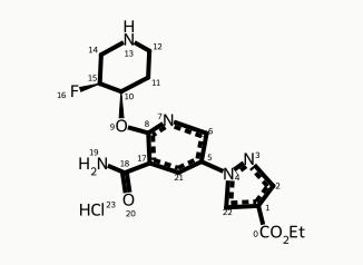 CCOC(=O)c1cnn(-c2cnc(O[C@@H]3CCNC[C@@H]3F)c(C(N)=O)c2)c1.Cl